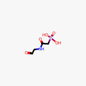 O=[C]CNC(=O)CP(=O)(O)O